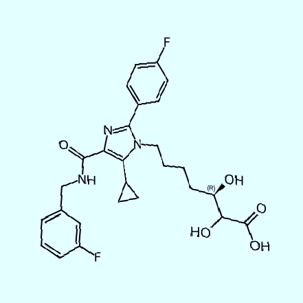 O=C(NCc1cccc(F)c1)c1nc(-c2ccc(F)cc2)n(CCCC[C@@H](O)C(O)C(=O)O)c1C1CC1